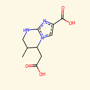 CC1CNc2nc(C(=O)O)cn2C1CC(=O)O